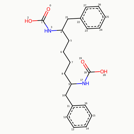 O=C(O)NC(CCCCC(Cc1ccccc1)NC(=O)O)Cc1ccccc1